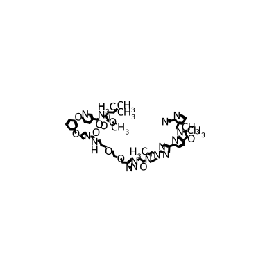 COC(=O)[C@H](CCC(C)(C)C)NC(=O)c1ccc(Oc2cccc(OC3CN(C(=O)NCCCOCCOCc4cn(CC(=O)N5CCN(c6ncc(-c7ccc8c(n7)N(Cc7cccnc7C#N)C(C)(C)C8=O)cn6)C[C@H]5C)nn4)C3)c2)nc1